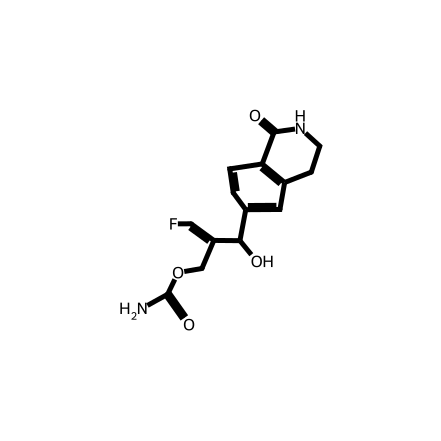 NC(=O)OCC(=CF)C(O)c1ccc2c(c1)CCNC2=O